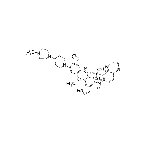 COc1cc(N2CCC(N3CCN(C)CC3)CC2)c(C)cc1Nc1cc(Nc2ccc3nccnc3c2P(C)(C)=O)c2cc[nH]c2n1